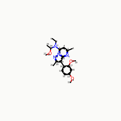 CCN(c1cc(C)nc2c(-c3ccc(OC)cc3OC)c(C)nn12)C(C)OC